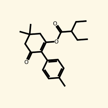 CCC(CC)C(=O)OC1=C(c2ccc(C)cc2)C(=O)CC(C)(C)C1